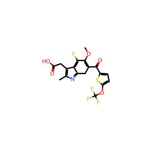 COC1=C(C(=O)c2ccc(OC(F)(F)F)s2)CC2=NC(C)=C(CC(=O)O)C2=C1F